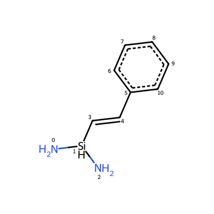 N[SiH](N)/C=C/c1ccccc1